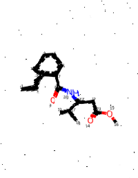 CCc1ccccc1C(=O)NC(CC(=O)OC)C(C)C